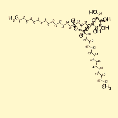 CCCCCCCCCCCCCCCCS(=O)(=O)CC(CO[C@H]1O[C@H](CO)[C@@H](O)[C@H](O)[C@H]1O)CS(=O)(=O)CCCCCCCCCCCCCCCC